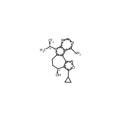 C[C@H](n1c2c(c3c(N)ncnc31)-c1noc(C3CC3)c1[C@@H](O)CC2)C(F)(F)F